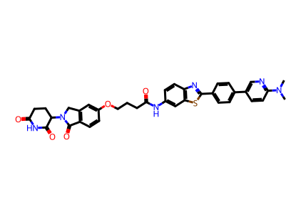 CN(C)c1ccc(-c2ccc(-c3nc4ccc(NC(=O)CCCOc5ccc6c(c5)CN(C5CCC(=O)NC5=O)C6=O)cc4s3)cc2)cn1